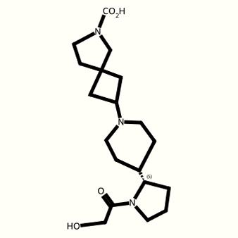 O=C(O)N1CCC2(CC(N3CCC([C@@H]4CCCN4C(=O)CO)CC3)C2)C1